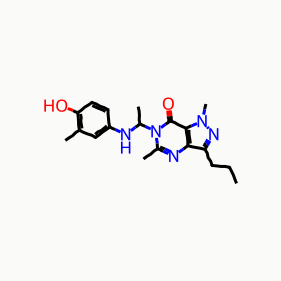 CCCc1nn(C)c2c(=O)n(C(C)Nc3ccc(O)c(C)c3)c(C)nc12